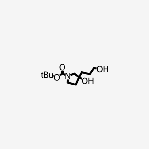 CC(C)(C)OC(=O)N1CCC(O)(CCCO)C1